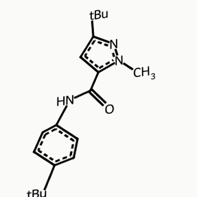 Cn1nc(C(C)(C)C)cc1C(=O)Nc1ccc(C(C)(C)C)cc1